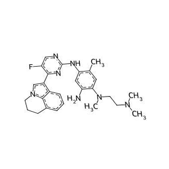 Cc1cc(N(C)CCN(C)C)c(N)cc1Nc1ncc(F)c(-c2cn3c4c(cccc24)CCC3)n1